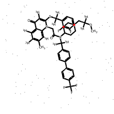 [2H]c1c(C)c([2H])c2c(c1[2H])c(=O)c([2H])c(SC([2H])([2H])c1cccc(F)c1F)n2CC(=O)N(C1CCN(CC([2H])([2H])OC)CC1)C([2H])([2H])c1ccc(-c2ccc(C(F)(F)F)cc2)cc1